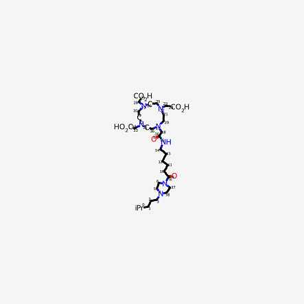 CC(C)CCCN1CCN(C(=O)CCCCCNC(=O)CN2CCN(CC(=O)O)CCN(CC(=O)O)CCN(CC(=O)O)CC2)CC1